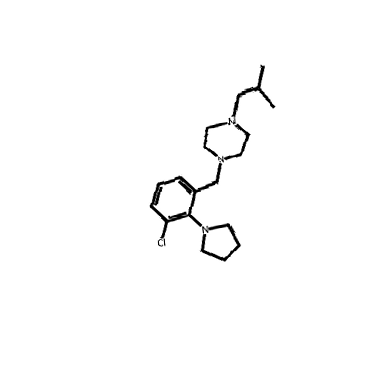 C[C](C)CN1CCN(Cc2cccc(Cl)c2N2CCCC2)CC1